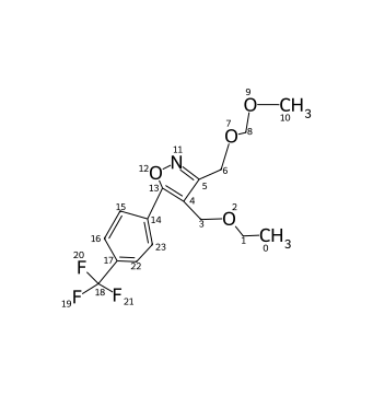 CCOCc1c(COCOC)noc1-c1ccc(C(F)(F)F)cc1